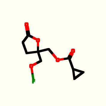 O=C1CCC(COF)(COC(=O)C2CC2)O1